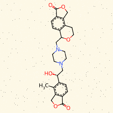 Cc1c([C@@H](O)CN2CCN(CC3OCCc4c3ccc3c4COC3=O)CC2)ccc2c1COC2=O